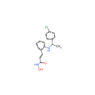 CC(Nc1ccccc1/C=C/C(=O)NO)c1ccc(Cl)cc1